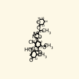 COc1cc(-c2nnc(C(C)OC3CCCCO3)o2)c(Cl)c2c1C(=O)[C@@]1(O2)C(O)=CC(=O)C[C@H]1C